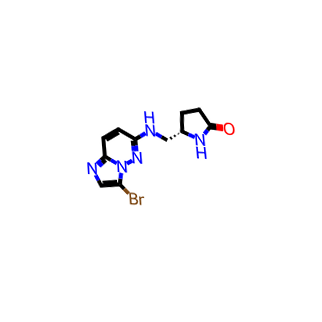 O=C1CC[C@@H](CNc2ccc3ncc(Br)n3n2)N1